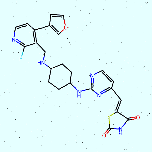 O=C1NC(=O)C(=Cc2ccnc(NC3CCC(NCc4c(-c5ccoc5)ccnc4F)CC3)n2)S1